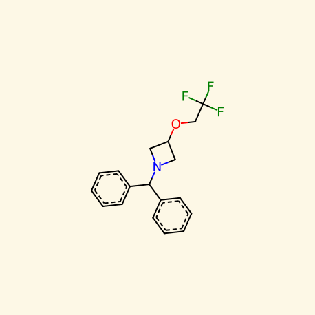 FC(F)(F)COC1CN(C(c2ccccc2)c2ccccc2)C1